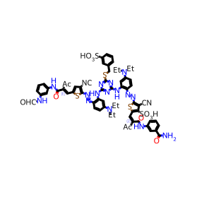 [C-]#[N+]c1cc(/C=C(\C(C)=O)C(=O)Nc2cccc(NC=O)c2)sc1/N=N/c1ccc(N(CC)CC)cc1Nc1nc(Nc2cc(N(CC)CC)ccc2/N=N/c2sc(/C=C(/C(C)=O)C(=O)Nc3cccc(C(N)=O)c3)c(S(=O)(=O)O)c2C#N)nc(SCc2cccc(S(=O)(=O)O)c2)n1